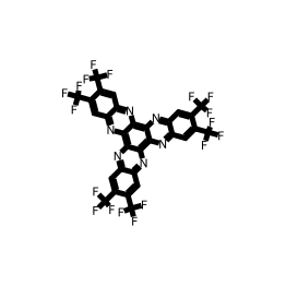 FC(F)(F)c1cc2nc3c4nc5cc(C(F)(F)F)c(C(F)(F)F)cc5nc4c4nc5cc(C(F)(F)F)c(C(F)(F)F)cc5nc4c3nc2cc1C(F)(F)F